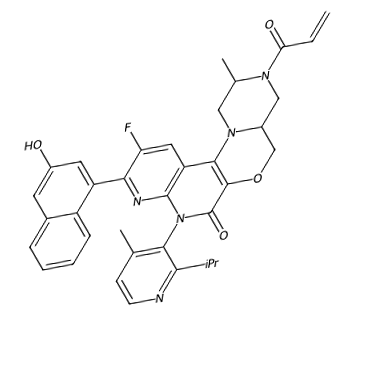 C=CC(=O)N1CC2COc3c(c4cc(F)c(-c5cc(O)cc6ccccc56)nc4n(-c4c(C)ccnc4C(C)C)c3=O)N2CC1C